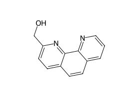 OCc1ccc2ccc3cccnc3c2n1